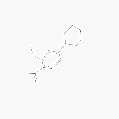 COc1cc(C2CCCCC2)ccc1C(C)=O